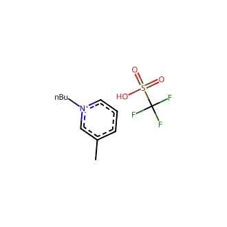 CCCC[n+]1cccc(C)c1.O=S(=O)(O)C(F)(F)F